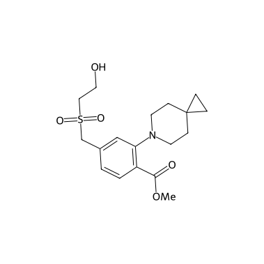 COC(=O)c1ccc(CS(=O)(=O)CCO)cc1N1CCC2(CC1)CC2